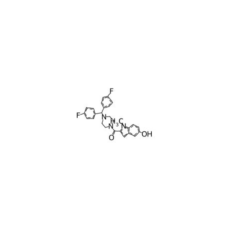 Cn1c(C(=O)N2CCN(C(c3ccc(F)cc3)c3ccc(F)cc3)CC2)cc2cc(O)ccc21